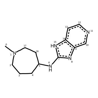 CN1CCCC(Nc2nc3cnccc3[nH]2)CC1